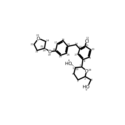 OCC1CC[C@H](O)C(c2ccc(Cl)c(Cc3ccc(O[C@H]4CCOC4)cc3)c2)O1